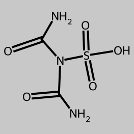 NC(=O)N(C(N)=O)S(=O)(=O)O